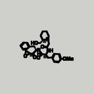 COc1ccc(C[C@H](NC(=O)CN2CCCC[C@H]2CO)C(=O)N[C@@H](Cc2ccccc2)C(=O)[C@H]2CO2)cc1